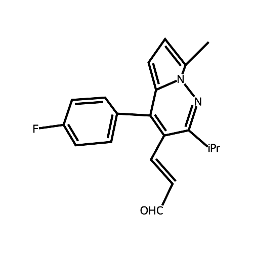 Cc1ccc2c(-c3ccc(F)cc3)c(C=CC=O)c(C(C)C)nn12